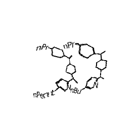 CCCCCc1ccc(C(C)C2CCC(C(C)C3CCC(CCC)CC3)CC2)nc1.CCCCc1ccc(C(C)C2CCC(C(C)C3CCC(CCC)CC3)CC2)nc1